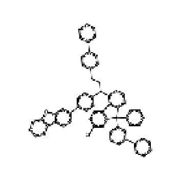 Clc1ccc2c(c1)C(c1ccccc1)(c1cccc(-c3ccccc3)c1)c1cccc(C(CCc3ccc(-c4ccccc4)cc3)c3ccc(-c4ccc5c(c4)oc4ccccc45)cc3)c1-2